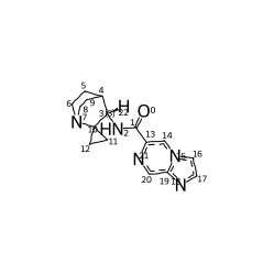 O=C(N[C@H]1C2CCN(CC2)C12CC2)c1cn2ccnc2cn1